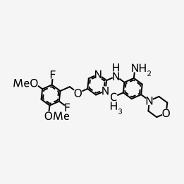 COc1cc(OC)c(F)c(COc2cnc(Nc3c(C)cc(N4CCOCC4)cc3N)nc2)c1F